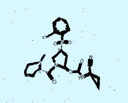 CN1CCC[C@H]1C(=O)N1C[C@H](S(=O)(=O)c2ccccc2Cl)CC1OC(=O)NC1(C#N)CC1